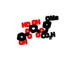 COc1ccc(CC(OC(=O)C2CC(O)C(O)C(OC(=O)c3cccc(O)c3)C2)C(=O)O)cc1